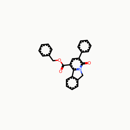 O=C(OCc1ccccc1)c1cc(-c2ccccc2)c(=O)n2c1-c1ccccc1C2